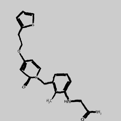 Cc1c(Cn2ccc(OCCc3cccs3)cc2=O)cccc1NCC(N)=O